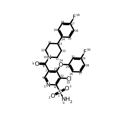 NS(=O)(=O)c1ncc(C(=O)N2CCC(c3ccc(F)cc3)CC2)c(Oc2cccc(F)c2)c1Cl